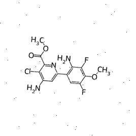 COC(=O)c1nc(-c2cc(F)c(OC)c(F)c2N)cc(N)c1Cl